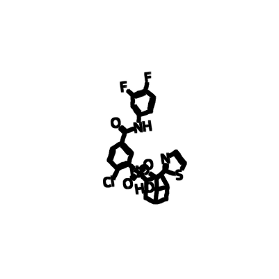 O=C(Nc1ccc(F)c(F)c1)c1ccc(Cl)c(S(=O)(=O)C2CC3CC(C2)C3(O)C(O)c2nccs2)c1